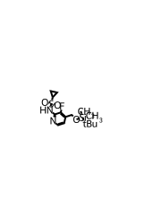 CC(C)(C)[Si](C)(C)OCc1ccnc(NS(=O)(=O)C2CC2)c1F